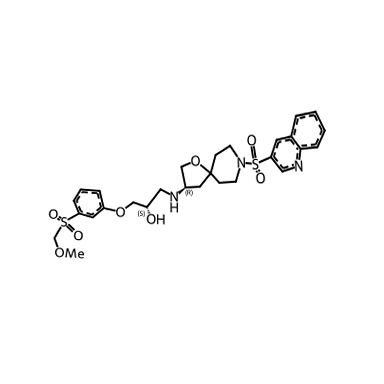 COCS(=O)(=O)c1cccc(OC[C@@H](O)CN[C@H]2COC3(CCN(S(=O)(=O)c4cnc5ccccc5c4)CC3)C2)c1